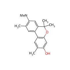 CNc1cc2c(cc1C)-c1cc(C)c(O)cc1OC2(C)C